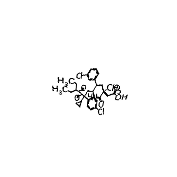 CCC(CC)S(=O)(=O)[C@](C[C@@H]1NC(=O)[C@](C)(CC(=O)O)C[C@@H]1c1cccc(Cl)c1)(c1ccc(Cl)cc1)C1CC1